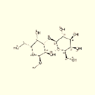 CO[C@H]1O[C@H](CO)[C@H](O)[C@H](O[C@@H]2O[C@H](CO)[C@H](O)[C@H](O)[C@H]2O)[C@H]1O